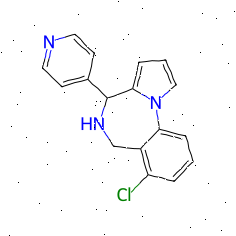 Clc1cccc2c1CNC(c1ccncc1)c1cccn1-2